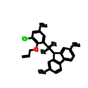 C=CCOc1c(Cl)cc(C(C)(C)C)cc1[Si](CC)(CC)C1c2cc(C(C)(C)C)ccc2-c2ccc(C(C)(C)C)cc21